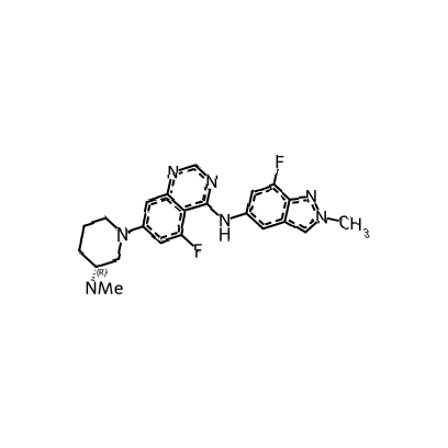 CN[C@@H]1CCCN(c2cc(F)c3c(Nc4cc(F)c5nn(C)cc5c4)ncnc3c2)C1